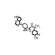 C[C@H](NC(=O)[C@H]1CCN(c2ncnc3[nH]ccc23)CC12CC2)c1ccc(C#N)c(F)c1